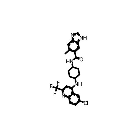 Cc1cc2nc[nH]c2cc1C(=O)NC1CCC(Nc2cc(C(F)(F)F)nc3ccc(Cl)cc23)CC1